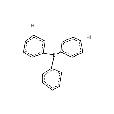 I.I.c1cc[c]([Bi]([c]2ccccc2)[c]2ccccc2)cc1